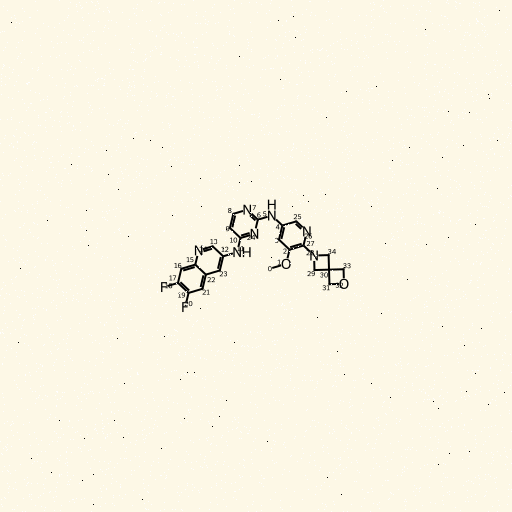 COc1cc(Nc2nccc(Nc3cnc4cc(F)c(F)cc4c3)n2)cnc1N1CC2(COC2)C1